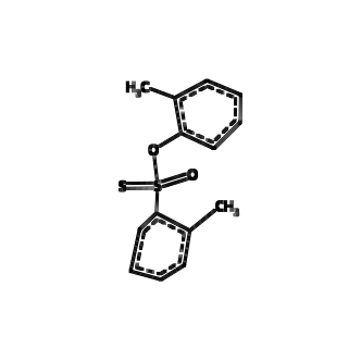 Cc1ccccc1OS(=O)(=S)c1ccccc1C